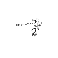 O.O.O=C(O)CCC/C=C/C[C@H]1[C@@H]2CC[C@@H](C2)[C@@H]1NS(=O)(=O)c1ccccc1